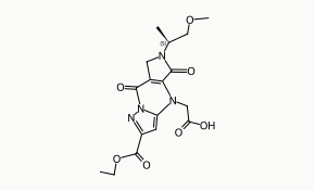 CCOC(=O)c1cc2n(CC(=O)O)c3c(c(=O)n2n1)CN([C@@H](C)COC)C3=O